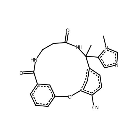 Cn1cncc1C1(C)NC(=O)CCNC(=O)c2cccc(c2)Oc2cc1ccc2C#N